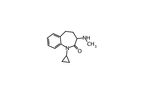 CNC1CCc2ccccc2N(C2CC2)C1=O